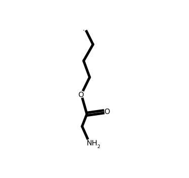 [CH2]CCCOC(=O)CN